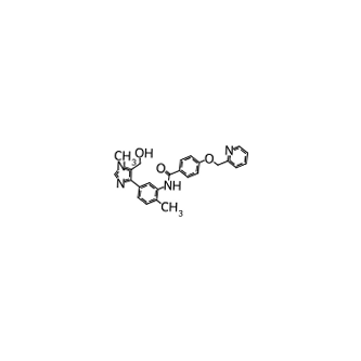 Cc1ccc(-c2ncn(C)c2CO)cc1NC(=O)c1ccc(OCc2ccccn2)cc1